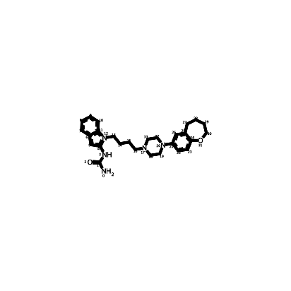 NC(=O)Nc1cc2ccccc2n1CCCCN1CCN(c2ccc3c(c2)CCCCO3)CC1